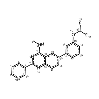 CNc1nc(-c2cccnc2)nc2ccc(-c3cccc(OC(F)F)c3)cc12